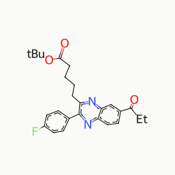 CCC(=O)c1ccc2nc(-c3ccc(F)cc3)c(CCCCC(=O)OC(C)(C)C)nc2c1